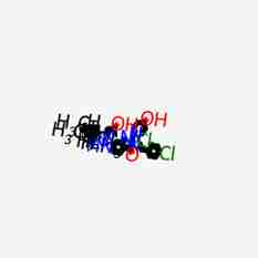 C[C@@H]1[C@@H](/N=C(/Nc2ccc3c(=O)n(CCc4ccc(Cl)cc4Cl)c(N4CCC(O)CC4)nc3c2)N2CC(O)C2)C[C@@H]2C[C@H]1C2(C)C